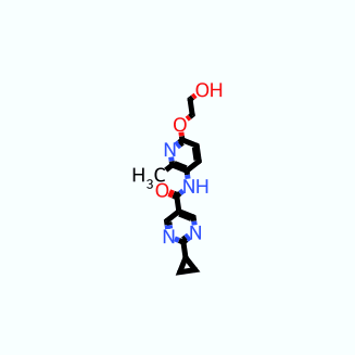 Cc1nc(OCCO)ccc1NC(=O)c1cnc(C2CC2)nc1